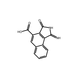 N=C1NC(=O)c2c(C(=O)O)cc3ccccc3c21